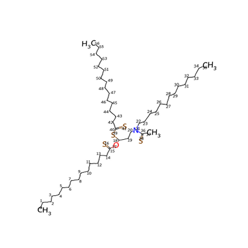 CCCCCCCCCCCCCCCC(=S)OC(CCN(CCCCCCCCCCCCCC)C(C)=S)SC(=S)CCCCCCCCCCCCCCC